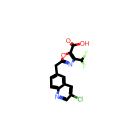 O=C(O)c1oc(Cc2ccc3ncc(Cl)cc3c2)nc1C(F)F